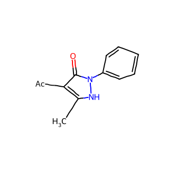 CC(=O)c1c(C)[nH]n(-c2ccccc2)c1=O